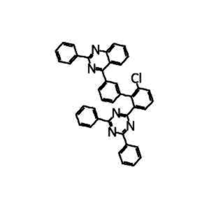 Clc1cccc(-c2nc(-c3ccccc3)nc(-c3ccccc3)n2)c1-c1cccc(-c2nc(-c3ccccc3)nc3ccccc23)c1